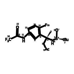 CC(=O)C[C@](C)(N[S@+]([O-])C(C)(C)C)c1cc(NC(=O)C(F)(F)F)ccc1F